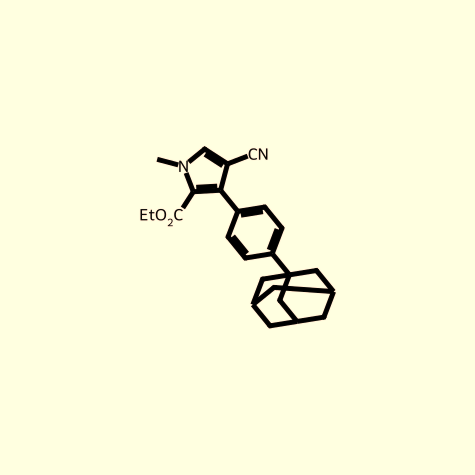 CCOC(=O)c1c(-c2ccc(C34CC5CC(CC(C5)C3)C4)cc2)c(C#N)cn1C